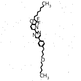 CCCCCCCC1Oc2ccc(-c3ncc(-c4ccc(CCCCOCCCCCC)cc4)cn3)nc2C1(F)F